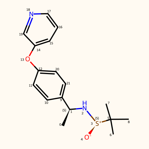 C[C@H](N[S@+]([O-])C(C)(C)C)c1ccc(Oc2cccnc2)cc1